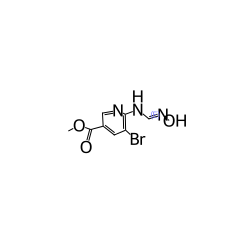 COC(=O)c1cnc(N/C=N/O)c(Br)c1